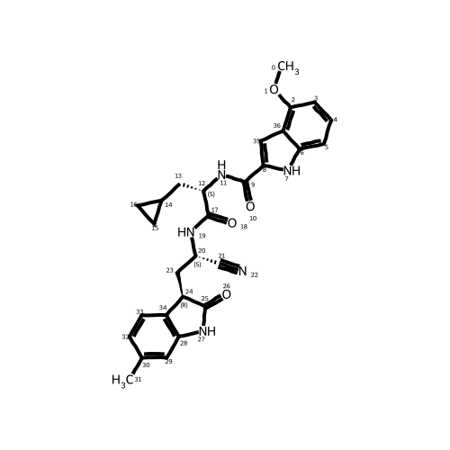 COc1cccc2[nH]c(C(=O)N[C@@H](CC3CC3)C(=O)N[C@H](C#N)C[C@H]3C(=O)Nc4cc(C)ccc43)cc12